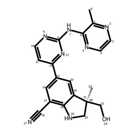 Cc1nccnc1Nc1nccc(-c2cc(C#N)c3c(c2)[C@@](C)(CO)CN3)n1